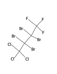 FC(F)(F)C(Br)(Br)C(Br)(Br)C(Cl)(Cl)Cl